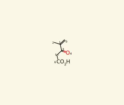 C=C(C)C(=O)[CH]C(=O)O